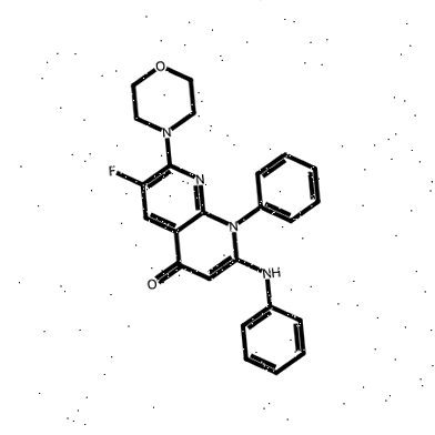 O=c1cc(Nc2ccccc2)n(-c2ccccc2)c2nc(N3CCOCC3)c(F)cc12